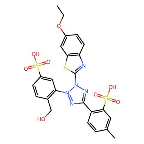 CCOc1ccc2nc(-n3nc(-c4ccc(C)cc4S(=O)(=O)O)n[n+]3-c3cc(S(=O)(=O)O)ccc3CO)sc2c1